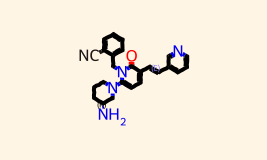 N#Cc1ccccc1Cn1c(N2CCC[C@@H](N)C2)ccc(/C=C/c2cccnc2)c1=O